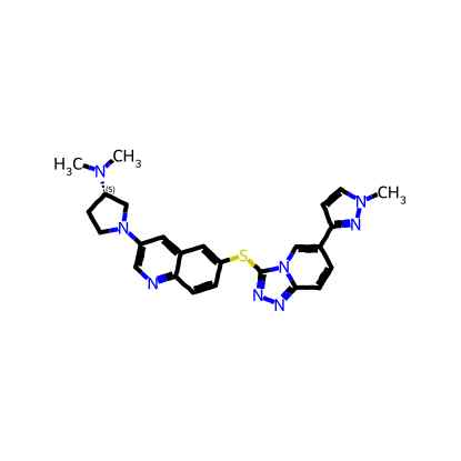 CN(C)[C@H]1CCN(c2cnc3ccc(Sc4nnc5ccc(-c6ccn(C)n6)cn45)cc3c2)C1